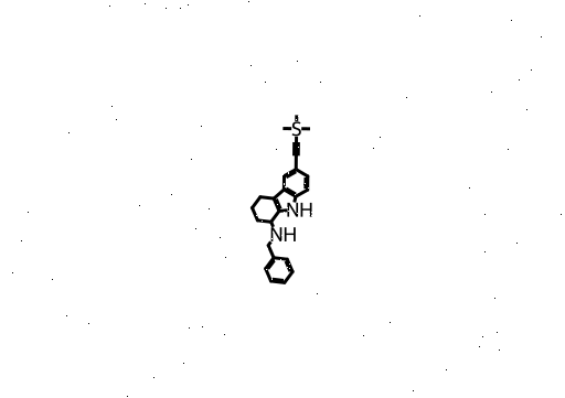 CS(C)(C)C#Cc1ccc2[nH]c3c(c2c1)CCCC3NCc1ccccc1